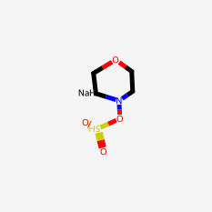 O=[SH](=O)ON1CCOCC1.[NaH]